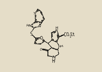 CCOC(=O)c1[nH]cc2c1NC1=C(C(=O)CNC1)C2c1ccc(Sc2nc3cccnc3[nH]2)o1